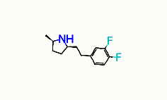 C[C@@H]1CC[C@H](CCc2ccc(F)c(F)c2)N1